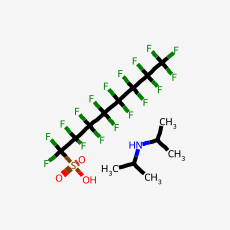 CC(C)NC(C)C.O=S(=O)(O)C(F)(F)C(F)(F)C(F)(F)C(F)(F)C(F)(F)C(F)(F)C(F)(F)C(F)(F)F